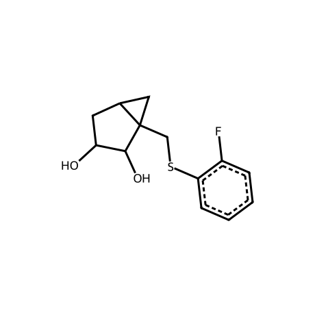 OC1CC2CC2(CSc2ccccc2F)C1O